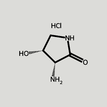 Cl.N[C@H]1C(=O)NC[C@H]1O